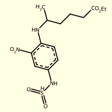 CCOC(=O)CCCC(C)Nc1ccc(N[SH](=O)=O)cc1[N+](=O)[O-]